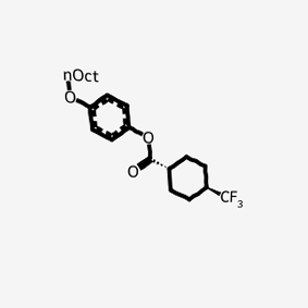 CCCCCCCCOc1ccc(OC(=O)[C@H]2CC[C@H](C(F)(F)F)CC2)cc1